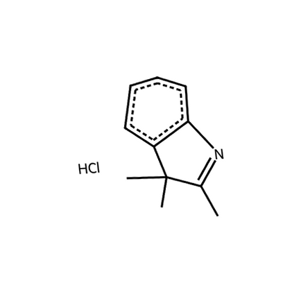 CC1=Nc2ccccc2C1(C)C.Cl